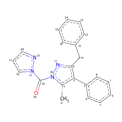 Cc1c(-c2ccccc2)c(Cc2ccccc2)nn1C(=O)n1cccn1